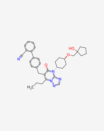 CCCc1c(Cc2ccc(-c3ccccc3C#N)cc2)c(=O)n([C@H]2CC[C@H](OCC3(O)CCCC3)CC2)c2ncnn12